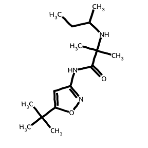 CCC(C)NC(C)(C)C(=O)Nc1cc(C(C)(C)C)on1